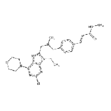 CCn1c(CN(C)Cc2ccc(/C=C/C(=O)NC)cc2)nc2c(N3CCOCC3)nc(Cl)nc21